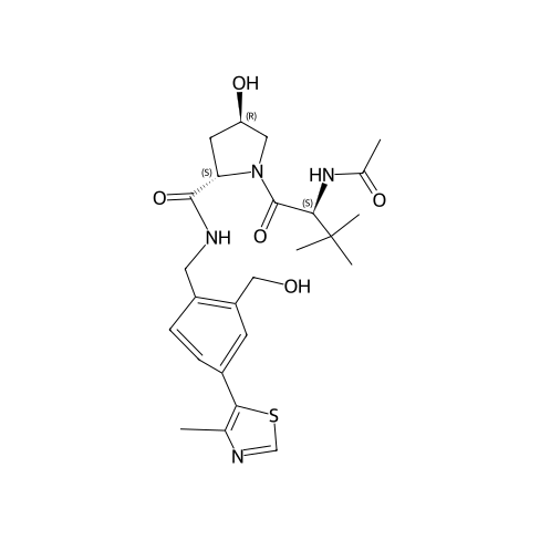 CC(=O)N[C@H](C(=O)N1C[C@H](O)C[C@H]1C(=O)NCc1ccc(-c2scnc2C)cc1CO)C(C)(C)C